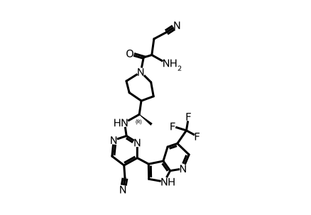 C[C@@H](Nc1ncc(C#N)c(-c2c[nH]c3ncc(C(F)(F)F)cc23)n1)C1CCN(C(=O)C(N)CC#N)CC1